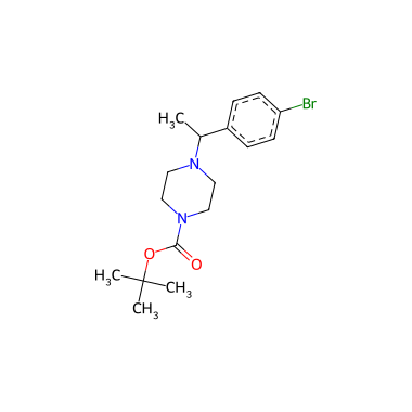 CC(c1ccc(Br)cc1)N1CCN(C(=O)OC(C)(C)C)CC1